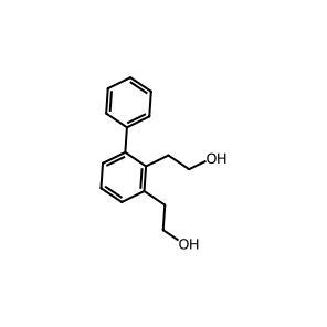 OCCc1cccc(-c2ccccc2)c1CCO